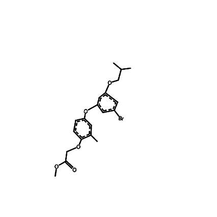 COC(=O)COc1ccc(Oc2cc(Br)cc(OCC(C)C)c2)cc1C